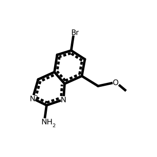 COCc1cc(Br)cc2cnc(N)nc12